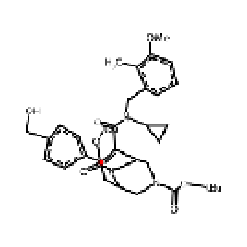 COc1cccc(CN(C(=O)C2=C(c3ccc(CO)cc3)CC3CN(C(=O)OC(C)(C)C)CC2N3C(=O)OC(C)(C)C)C2CC2)c1C